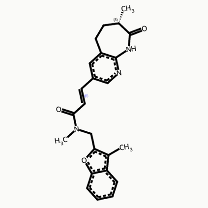 Cc1c(CN(C)C(=O)/C=C/c2cnc3c(c2)CC[C@H](C)C(=O)N3)oc2ccccc12